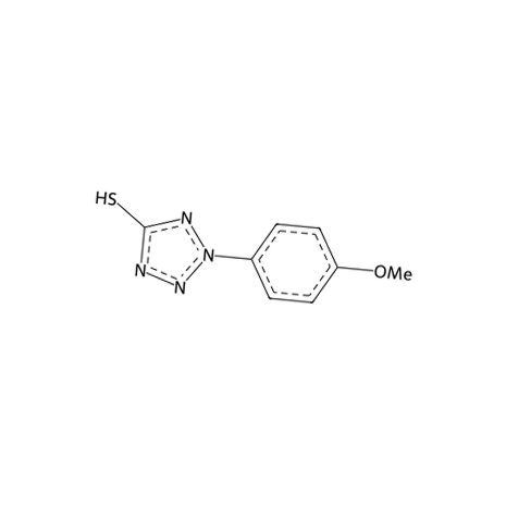 COc1ccc(-n2nnc(S)n2)cc1